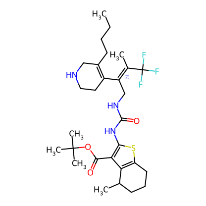 CCCCC1=C(/C(CNC(=O)Nc2sc3c(c2C(=O)OC(C)(C)C)C(C)CCC3)=C(\C)C(F)(F)F)CCNC1